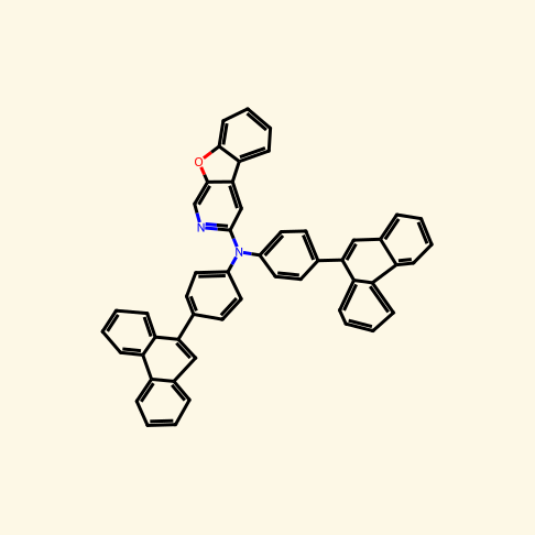 c1ccc2c(c1)cc(-c1ccc(N(c3ccc(-c4cc5ccccc5c5ccccc45)cc3)c3cc4c(cn3)oc3ccccc34)cc1)c1ccccc12